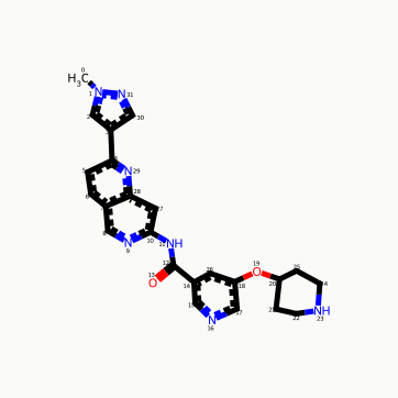 Cn1cc(-c2ccc3cnc(NC(=O)c4cncc(OC5CCNCC5)c4)cc3n2)cn1